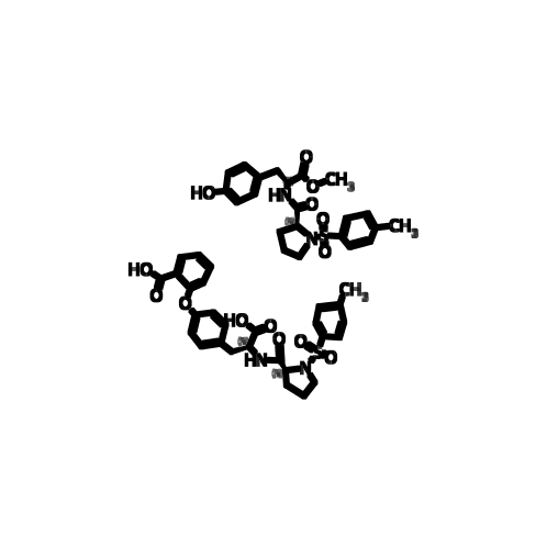 COC(=O)[C@H](Cc1ccc(O)cc1)NC(=O)[C@@H]1CCCN1S(=O)(=O)c1ccc(C)cc1.Cc1ccc(S(=O)(=O)N2CCC[C@H]2C(=O)N[C@@H](Cc2ccc(Oc3ccccc3C(=O)O)cc2)C(=O)O)cc1